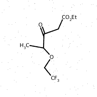 CCOC(=O)CC(=O)C(C)OCC(F)(F)F